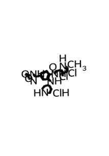 Cc1[nH]c(C(=O)Nc2ccc(-c3noc(=O)[nH]3)cc2NC2CCNCC2)c(Cl)c1Cl.Cl